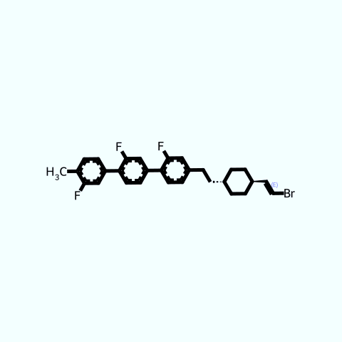 Cc1ccc(-c2ccc(-c3ccc(CC[C@H]4CC[C@H](/C=C/Br)CC4)cc3F)cc2F)cc1F